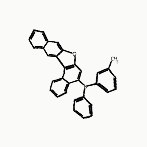 Cc1cccc(N(c2ccccc2)c2cc3oc4cc5ccccc5cc4c3c3ccccc23)c1